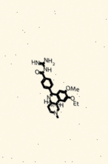 CCOc1cc2c(cc1OC)C(c1ccc(C(=O)NC(=N)N)cc1)=N[C@@H]1CCN(C)C[C@H]21